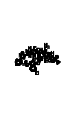 C=C[C@@H]1C[C@]1(NC(=O)[C@@H]1C[C@@H](Oc2ncc(OC)c3ccc(Cl)cc23)CN1C(=O)[C@@H](Nc1nc(-c2cc(-c3ccccc3)no2)cs1)C(C)(C)C)C(=O)NS(=O)(=O)C1CC1